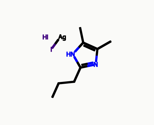 CCCc1nc(C)c(C)[nH]1.I.[Ag][I]